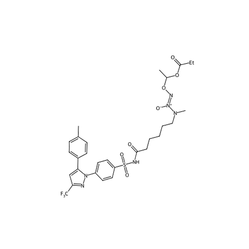 CCC(=O)OC(C)O/N=[N+](\[O-])N(C)CCCCCC(=O)NS(=O)(=O)c1ccc(-n2nc(C(F)(F)F)cc2-c2ccc(C)cc2)cc1